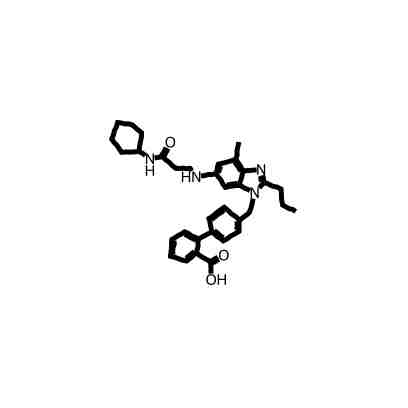 CCCc1nc2c(C)cc(NCCC(=O)NC3CCCCC3)cc2n1Cc1ccc(-c2ccccc2C(=O)O)cc1